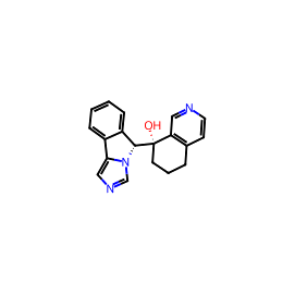 O[C@@]1([C@H]2c3ccccc3-c3cncn32)CCCc2ccncc21